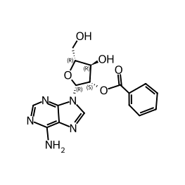 Nc1ncnc2c1ncn2[C@@H]1O[C@H](CO)[C@@H](O)[C@@H]1OC(=O)c1ccccc1